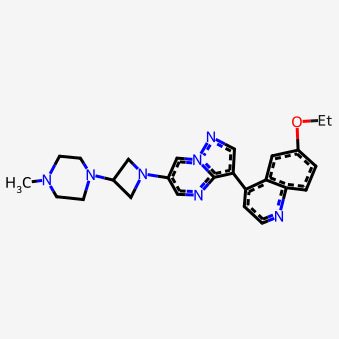 CCOc1ccc2nccc(-c3cnn4cc(N5CC(N6CCN(C)CC6)C5)cnc34)c2c1